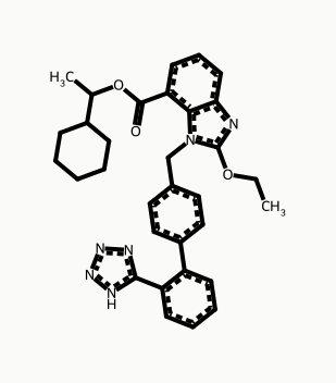 CCOc1nc2cccc(C(=O)OC(C)C3CCCCC3)c2n1Cc1ccc(-c2ccccc2-c2nnn[nH]2)cc1